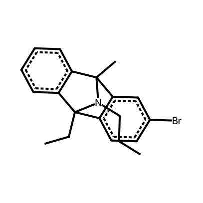 CCCN1C2(C)c3ccccc3C1(CC)c1ccc(Br)cc12